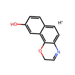 Oc1ccc2ccc3c(c2c1)OCC=N3.[H+]